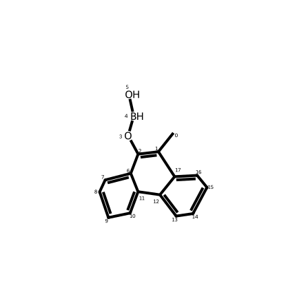 Cc1c(OBO)c2ccccc2c2ccccc12